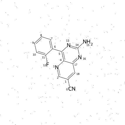 N#Cc1cnc2c(-c3ccccc3F)nc(N)nc2c1